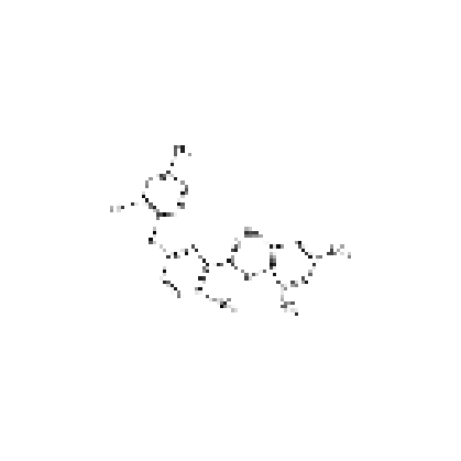 CCC(C)c1cc([N+](=O)[O-])cc([N+](=O)[O-])c1OC(=O)c1cc(Oc2ccc(C(F)(F)F)cc2Cl)ccc1[N+](=O)[O-]